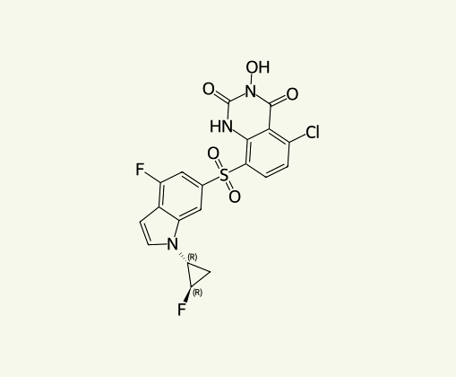 O=c1[nH]c2c(S(=O)(=O)c3cc(F)c4ccn([C@@H]5C[C@H]5F)c4c3)ccc(Cl)c2c(=O)n1O